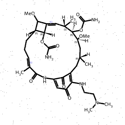 COC1/C2=C\[C@H](C)[C@@H](OC(N)=O)[C@@H](OC)C[C@H](C)CC3=C(NCCN(C)C)C(=O)C=C(NC(=O)/C(C)=C/CC[C@H]1[C@H]2OC(N)=O)C3=O